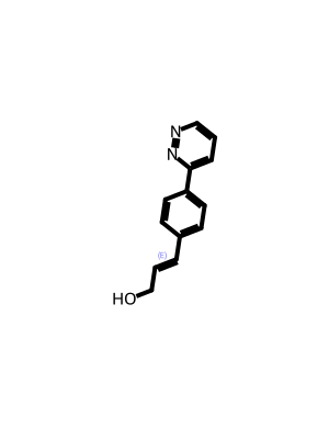 OC/C=C/c1ccc(-c2cccnn2)cc1